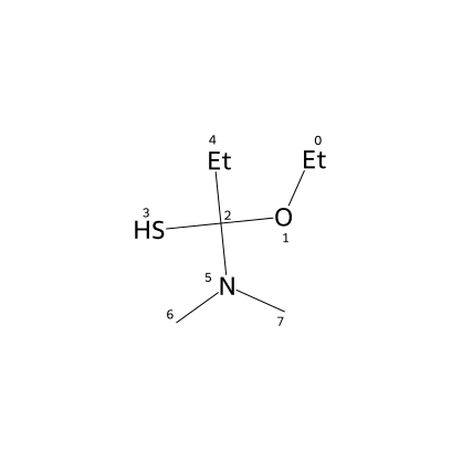 CCOC(S)(CC)N(C)C